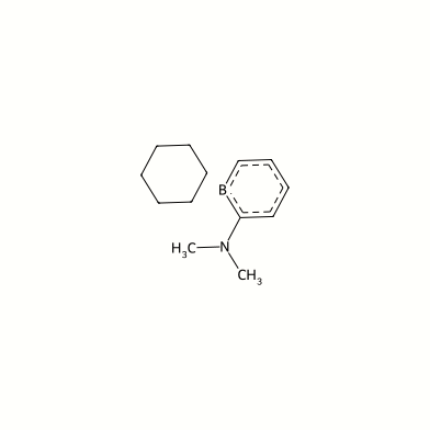 C1CCCCC1.CN(C)c1bcccc1